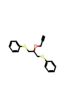 C#CCOC(CSc1ccccc1)CSc1ccccc1